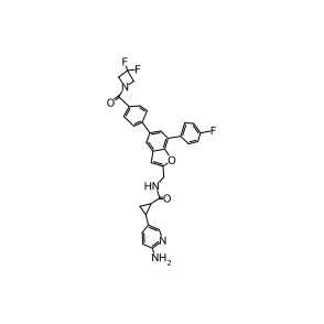 Nc1ccc(C2CC2C(=O)NCc2cc3cc(-c4ccc(C(=O)N5CC(F)(F)C5)cc4)cc(-c4ccc(F)cc4)c3o2)cn1